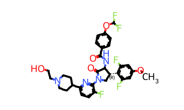 COc1cc(F)c([C@@H]2CN(c3nc(C4CCN(CCO)CC4)ccc3F)C(=O)C2NC(=O)c2ccc(OC(F)F)cc2)c(F)c1